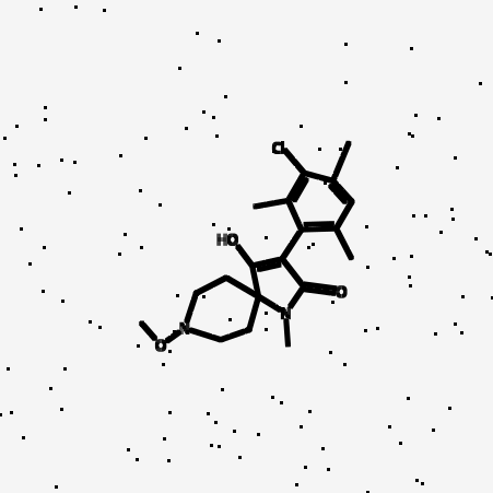 CON1CCC2(CC1)C(O)=C(c1c(C)cc(C)c(Cl)c1C)C(=O)N2C